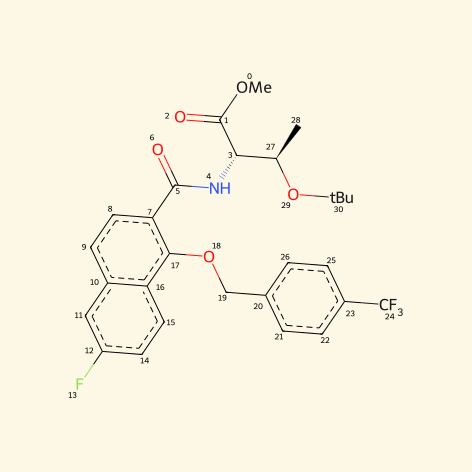 COC(=O)[C@@H](NC(=O)c1ccc2cc(F)ccc2c1OCc1ccc(C(F)(F)F)cc1)[C@@H](C)OC(C)(C)C